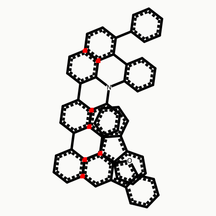 c1ccc(-c2ccccc2-c2ccccc2N(c2ccc(-c3cccc4c3oc3ccccc34)cc2)c2ccccc2-c2ccc(-c3ccccc3-n3c4ccccc4c4ccccc43)cc2)cc1